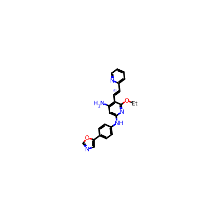 CCOc1nc(Nc2ccc(-c3cnco3)cc2)cc(N)c1/C=C/c1ccccn1